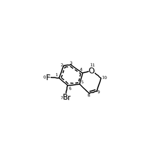 Fc1ccc2c(c1Br)C=CCO2